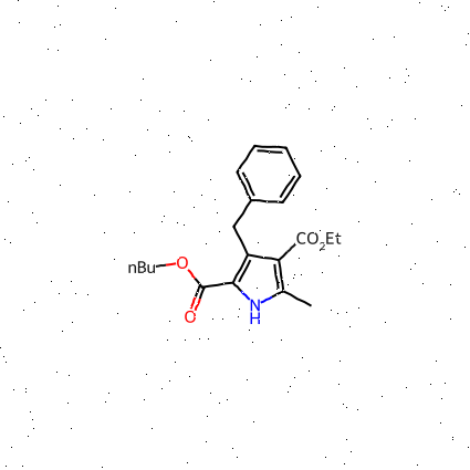 CCCCOC(=O)c1[nH]c(C)c(C(=O)OCC)c1Cc1ccccc1